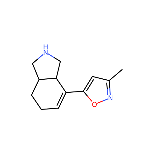 Cc1cc(C2=CCCC3CNCC23)on1